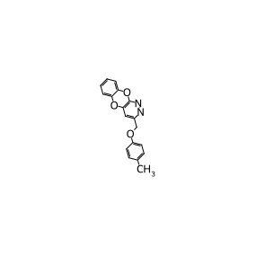 Cc1ccc(OCc2cc3c(nn2)Oc2ccccc2O3)cc1